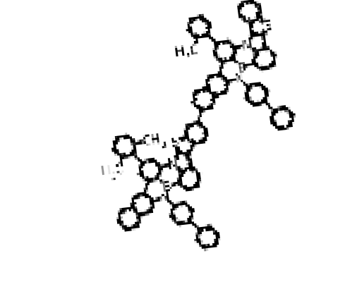 Cc1ccccc1-c1cc2c3c(c1)-n1c4c(cccc4c4sc5ccccc5c41)B3N(c1ccc(-c3ccccc3)cc1)c1cc3cc(-c4ccc5c(c4)sc4c5c5cccc6c5n4-c4cc(-c5c(C)cccc5C)cc5c4B6N(c4ccc(-c6ccccc6)cc4)c4cc6ccccc6cc4-5)ccc3cc1-2